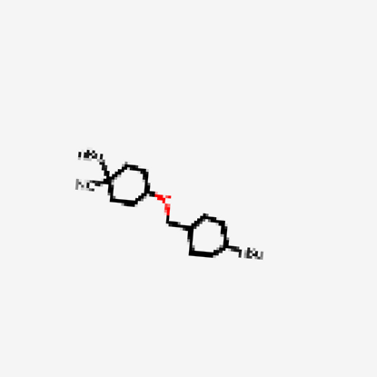 CCCCC1CCC(COC2CCC(C#N)(CCCC)CC2)CC1